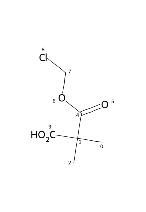 CC(C)(C(=O)O)C(=O)OCCl